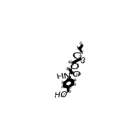 C=CCOC(=O)COCC(=O)Nc1ccc(CO)cc1